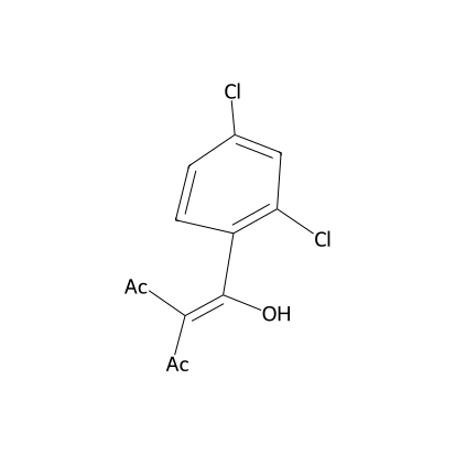 CC(=O)C(C(C)=O)=C(O)c1ccc(Cl)cc1Cl